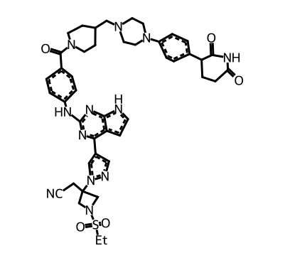 CCS(=O)(=O)N1CC(CC#N)(n2cc(-c3nc(Nc4ccc(C(=O)N5CCC(CN6CCN(c7ccc(C8CCC(=O)NC8=O)cc7)CC6)CC5)cc4)nc4[nH]ccc34)cn2)C1